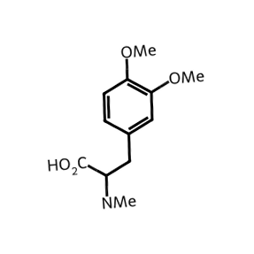 CNC(Cc1ccc(OC)c(OC)c1)C(=O)O